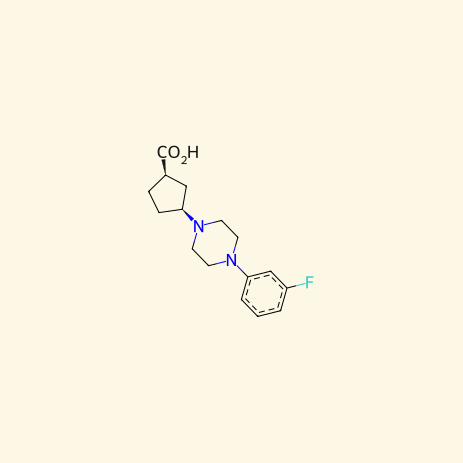 O=C(O)[C@@H]1CC[C@H](N2CCN(c3cccc(F)c3)CC2)C1